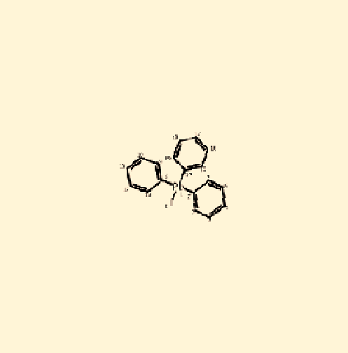 [I][Pb]([c]1ccccc1)([c]1ccccc1)[c]1ccccc1